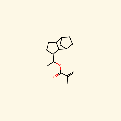 C=C(C)C(=O)OC(C)C1CCC2C3CCC(C3)C21